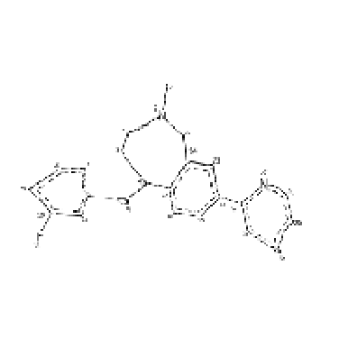 CN1CCC(Oc2cccc(F)c2)c2ccc(-c3cnccn3)cc2C1